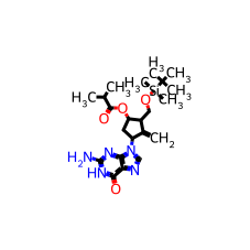 C=C1C(CO[Si](C)(C)C(C)(C)C)C(OC(=O)C(C)C)CC1n1cnc2c(=O)[nH]c(N)nc21